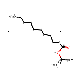 CCCCCCCCCCCCCCCCCCCC(=O)OC(C(=O)OCC)C(C)C